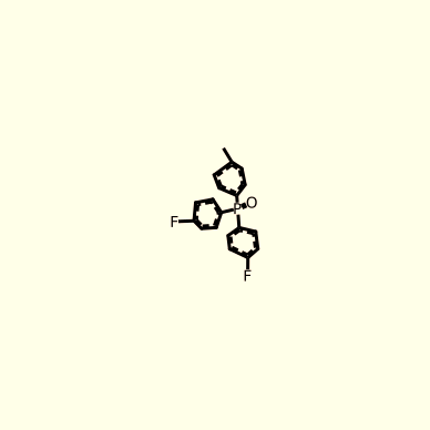 Cc1ccc(P(=O)(c2ccc(F)cc2)c2ccc(F)cc2)cc1